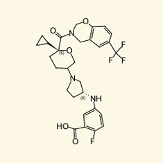 O=C(O)c1cc(N[C@@H]2CCN(C3CC[C@@](C(=O)N4COc5ccc(C(F)(F)F)cc5C4)(C4CC4)OC3)C2)ccc1F